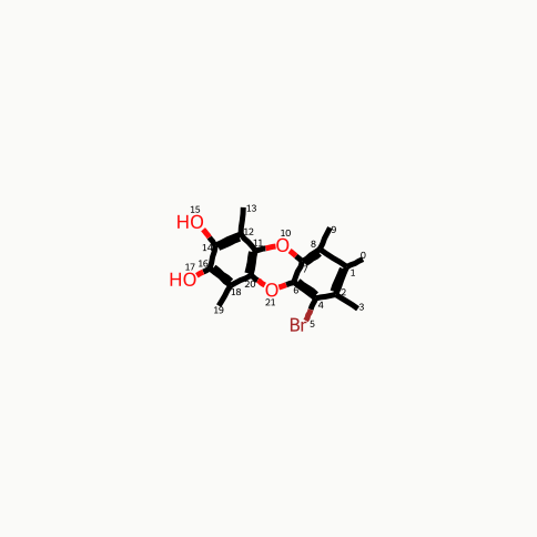 Cc1c(C)c(Br)c2c(c1C)Oc1c(C)c(O)c(O)c(C)c1O2